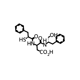 O=C(O)CC(NC(=O)[C@@H](S)Cc1ccccc1)C(=O)N[C@H](CO)Cc1ccccc1